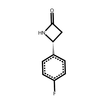 O=C1C[C@H](c2ccc(F)cc2)N1